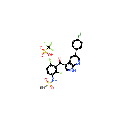 CCCS(=O)(=O)Nc1ccc(F)c(C(=O)c2c[nH]c3ncc(-c4ccc(Cl)cc4)cc23)c1F.O=S(=O)(O)C(F)(F)F